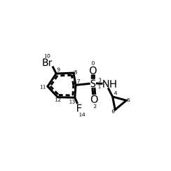 O=S(=O)(NC1CC1)c1cc(Br)ccc1F